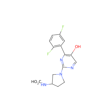 O=C(O)NC1CCN(c2ncc(O)c(-c3cc(F)ccc3F)n2)C1